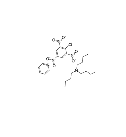 CCCCN(CCCC)CCCC.O=[N+]([O-])c1cc([N+](=O)[O-])c(Cl)c([N+](=O)[O-])c1.c1ccncc1